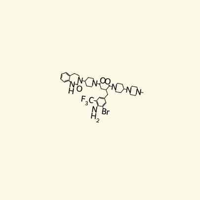 CN1CCN(C2CCN(C(=O)C(CC(=O)N3CCC(N4CCc5ccccc5NC4=O)CC3)Cc3cc(Br)c(N)c(C(F)(F)F)c3)CC2)CC1